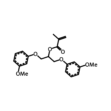 C=C(C)C(=O)OC(COc1cccc(OC)c1)COc1cccc(OC)c1